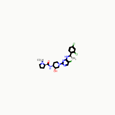 C[C@@H](Nc1nc(N2CC[C@H](NC(=O)[C@H]3CCCN3C(=O)O)[C@H](O)C2)ncc1F)c1ccc(Cl)cc1Cl